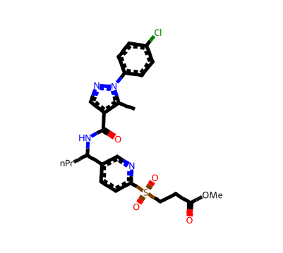 CCCC(NC(=O)c1cnn(-c2ccc(Cl)cc2)c1C)c1ccc(S(=O)(=O)CCC(=O)OC)nc1